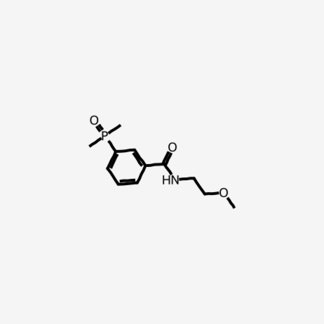 COCCNC(=O)c1cccc(P(C)(C)=O)c1